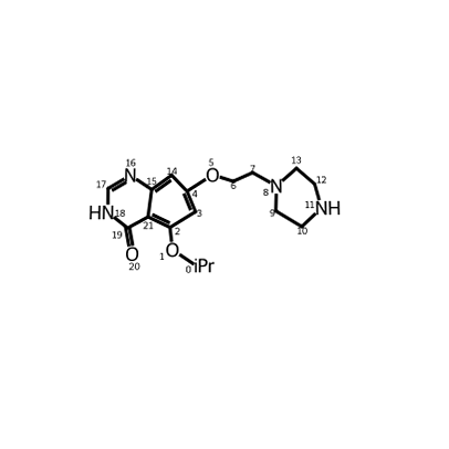 CC(C)Oc1cc(OCCN2CCNCC2)cc2nc[nH]c(=O)c12